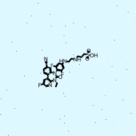 CCN1C(=O)N(c2c(F)cc(NCCNCCCS(=O)(=O)O)cc2F)c2cc(C#N)ccc2-c2cc(F)cnc21